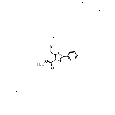 COC(=O)c1nc(-c2ccccc2)oc1CBr